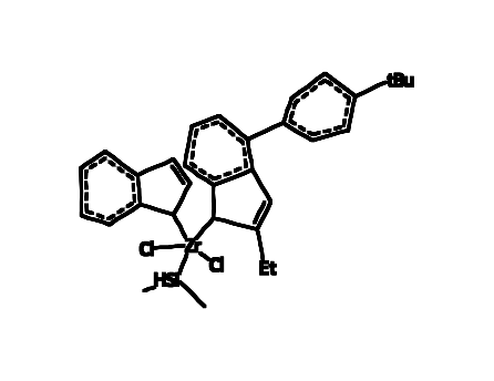 CCC1=Cc2c(-c3ccc(C(C)(C)C)cc3)cccc2[CH]1[Zr]([Cl])([Cl])([CH]1C=Cc2ccccc21)[SiH](C)C